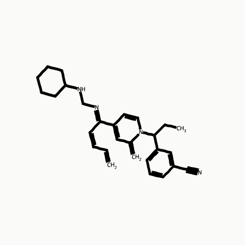 C=C/C=C\C(=N/CNC1CCCCC1)C1=CC(=C)N(C(CC)c2cccc(C#N)c2)C=C1